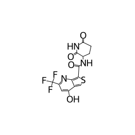 O=C1CCC(NC(=O)c2scc3c(O)cc(C(F)(F)F)nc23)C(=O)N1